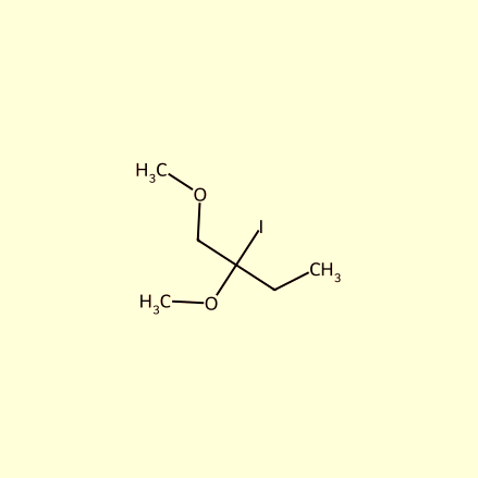 CCC(I)(COC)OC